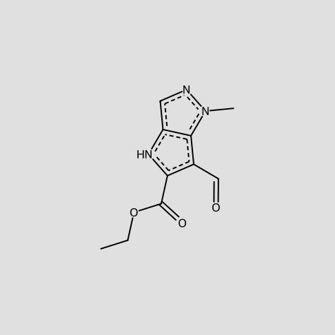 CCOC(=O)c1[nH]c2cnn(C)c2c1C=O